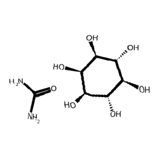 NC(N)=O.O[C@H]1[C@H](O)[C@@H](O)[C@H](O)[C@@H](O)[C@H]1O